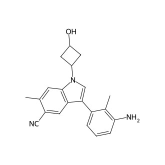 Cc1cc2c(cc1C#N)c(-c1cccc(N)c1C)cn2C1CC(O)C1